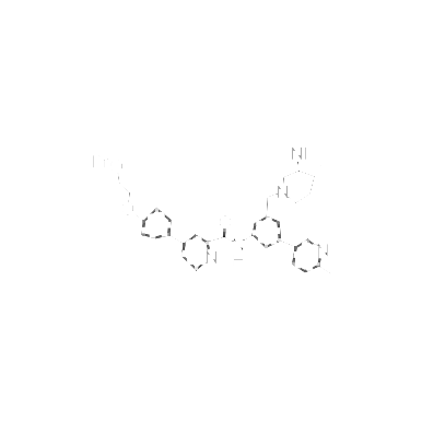 Cc1ccc(-c2cc(CN3CCC[C@H](N)C3)cc(NC(=O)c3cc(-c4ccc(OCCOC(C)C)cc4)ccn3)c2)cn1